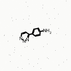 Nc1ccc(-c2ccnnn2)cc1